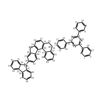 c1ccc(-c2nc(-c3ccccc3)nc(-c3ccc([C@H]4Cc5ccc6sc7cc(-n8c9ccccc9c9ccccc98)ccc7c6c5-c5ccccc54)cc3)n2)cc1